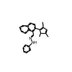 CC1=CC(C)=C(c2ccc3ccccc3c2C=NNc2ccccc2)C1C